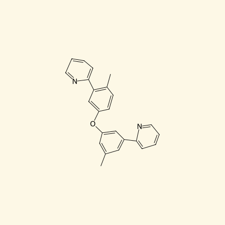 Cc1cc(Oc2ccc(C)c(-c3ccccn3)c2)cc(-c2ccccn2)c1